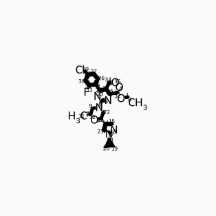 CCOC(=O)c1nc(N2C[C@@H](C)O[C@@H](c3cnn(C4CC4)c3)C2)nc(-c2ccc(Cl)cc2F)c1C=O